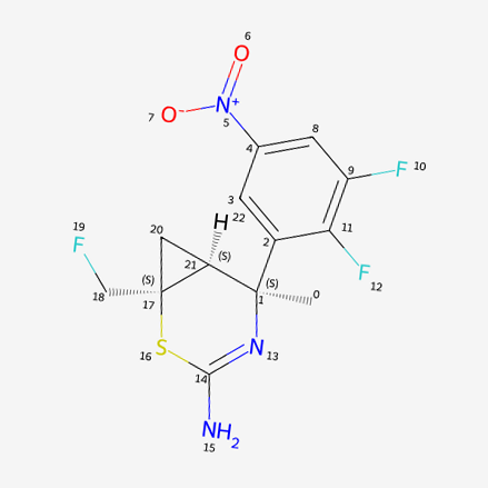 C[C@]1(c2cc([N+](=O)[O-])cc(F)c2F)N=C(N)S[C@@]2(CF)C[C@H]21